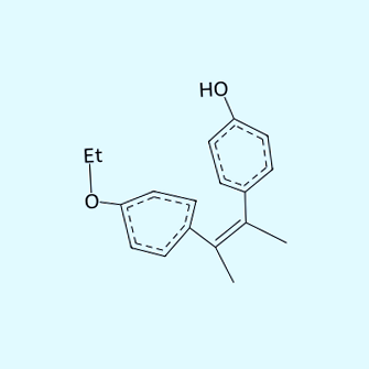 CCOc1ccc(C(C)=C(C)c2ccc(O)cc2)cc1